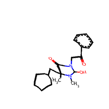 CN1C(O)N(CC(=O)c2ccccc2)C(=O)C1(C)CC1CCCC1